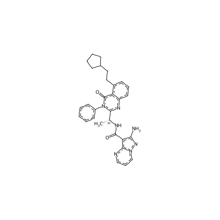 C[C@@H](NC(=O)c1c(N)nn2cccnc12)c1nc2cccc(CCC3CCCC3)c2c(=O)n1-c1ccccc1